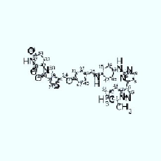 CC(C)n1ncc(-c2ccnc(NC3CCC(NCc4ccc(OCc5scc6c5CN(C5CCC(=O)NC5=O)C6=O)cc4)CC3)n2)c1CC1CC1